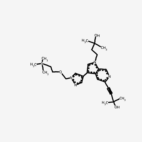 CC(C)(O)C#Cc1cc2c(-c3cnn(COCCS(C)(C)C)c3)cn(CCC(C)(C)O)c2cn1